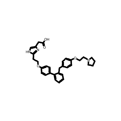 O=C(O)Cc1c[nH]c(CCOc2ccc(-c3ccccc3Cc3ccc(OCCN4CCCC4)cc3)cc2)n1